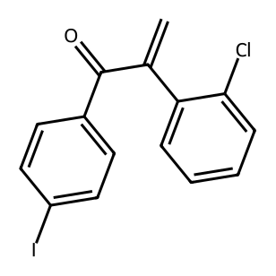 C=C(C(=O)c1ccc(I)cc1)c1ccccc1Cl